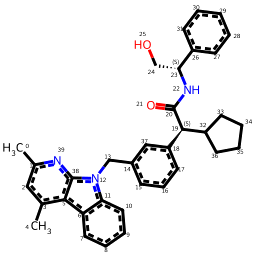 Cc1cc(C)c2c3ccccc3n(Cc3cccc([C@@H](C(=O)N[C@H](CO)c4ccccc4)C4CCCC4)c3)c2n1